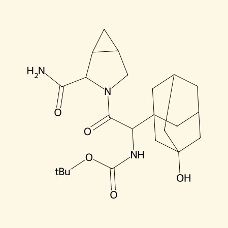 CC(C)(C)OC(=O)NC(C(=O)N1CC2CC2C1C(N)=O)C12CC3CC(CC(O)(C3)C1)C2